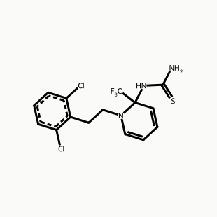 NC(=S)NC1(C(F)(F)F)C=CC=CN1CCc1c(Cl)cccc1Cl